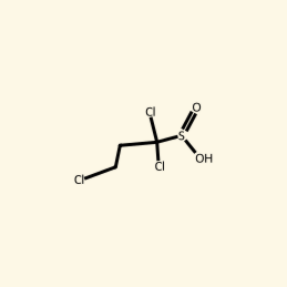 O=S(O)C(Cl)(Cl)CCCl